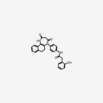 O=C1CC(=O)N(c2ccc(NC(=O)Cc3ccccc3O)cc2)C2=C(N1)c1ccccc1CC2